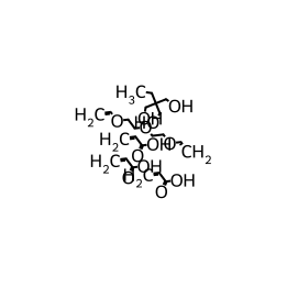 C=CC(=O)O.C=CC(=O)O.C=CC(=O)O.C=COCCOCCOC=C.CCC(CO)(CO)CO